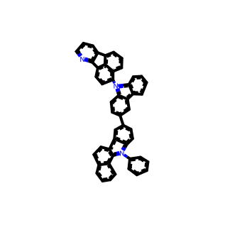 c1ccc(-n2c3ccc(-c4ccc5c(c4)c4ccccc4n5-c4ccc5c6c(cccc46)-c4cccnc4-5)cc3c3ccc4ccccc4c32)cc1